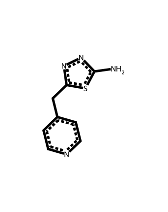 Nc1nnc(Cc2ccncc2)s1